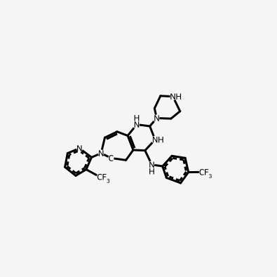 FC(F)(F)c1ccc(NC2NC(N3CCNCC3)NC3=C2CCN(c2ncccc2C(F)(F)F)C=C3)cc1